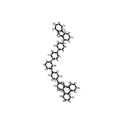 c1cc(-c2ccc(-c3ccc(-c4cccc5c4oc4ccccc45)cc3)cc2)cc(-c2ccc(-c3cnc4c5ccccc5c5ccccc5c4n3)cc2)c1